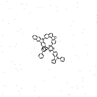 c1ccc(-c2cccc(-c3nc(-c4ccc5oc6ccc7ccc(-n8c9cc%10ccccc%10cc9c9cc%10ccccc%10cc98)cc7c6c5c4)nc(-c4ccc5c(c4)c4ccccc4n5-c4ccccc4)n3)c2)cc1